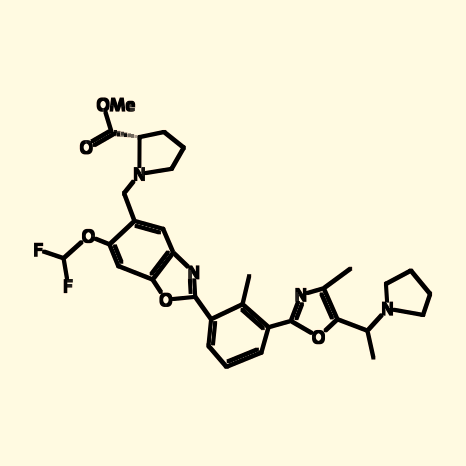 COC(=O)[C@@H]1CCCN1Cc1cc2nc(-c3cccc(-c4nc(C)c(C(C)N5CCCC5)o4)c3C)oc2cc1OC(F)F